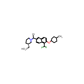 CCC(c1ccc2c(C(F)F)c(OC3CCC(C)CC3)ccc2c1)N1CCC[C@H](CC(=O)O)C1